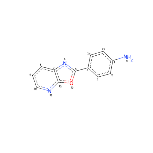 Nc1ccc(-c2nc3cccnc3o2)cc1